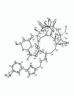 CCC(=O)/N=C1\[C@H](C)C[C@@]2(C)OCC(=NOCc3csc(-c4cccc(N)n4)n3)CC[C@H]([C@H]1C)[C@](C)(O)[C@@H](CC)OC(=O)[C@@](C)(F)C(=O)[C@H](C)[C@H]2O[C@@H]1O[C@H](C)C[C@H](N(C)C)[C@H]1OC(C)=O